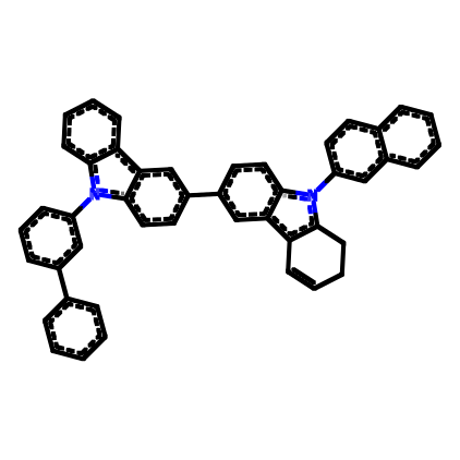 C1=Cc2c(n(-c3ccc4ccccc4c3)c3ccc(-c4ccc5c(c4)c4ccccc4n5-c4cccc(-c5ccccc5)c4)cc23)CC1